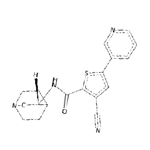 N#Cc1cc(-c2cccnc2)sc1C(=O)N[C@H]1CN2CCC1CC2